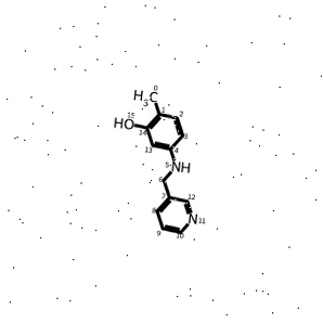 Cc1ccc(NCc2cccnc2)cc1O